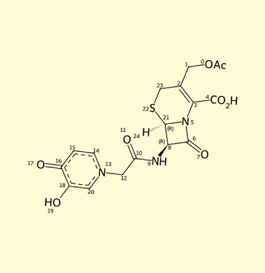 CC(=O)OCC1=C(C(=O)O)N2C(=O)[C@@H](NC(=O)Cn3ccc(=O)c(O)c3)[C@H]2SC1